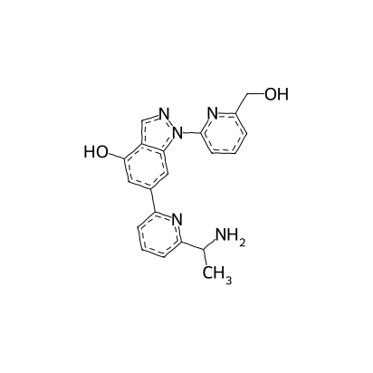 CC(N)c1cccc(-c2cc(O)c3cnn(-c4cccc(CO)n4)c3c2)n1